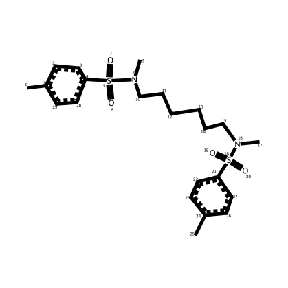 Cc1ccc(S(=O)(=O)N(C)CCCCCCN(C)S(=O)(=O)c2ccc(C)cc2)cc1